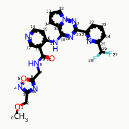 COCc1noc(CNC(=O)c2cnccc2Nc2nc(-c3cccc(C(F)F)n3)nn3cccc23)n1